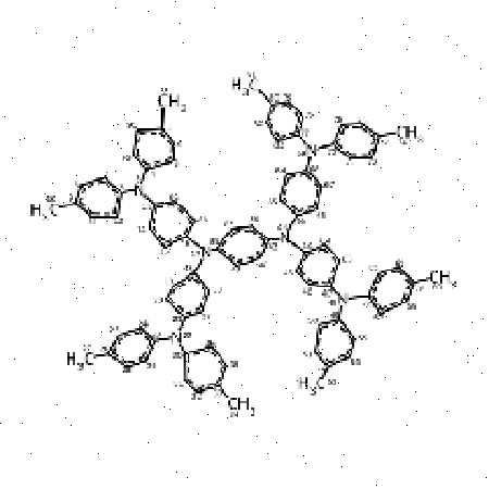 Cc1ccc(N(c2ccc(C)cc2)c2ccc(N(c3ccc(N(c4ccc(C)cc4)c4ccc(C)cc4)cc3)c3ccc(N(c4ccc(N(c5ccc(C)cc5)c5ccc(C)cc5)cc4)c4ccc(N(c5ccc(C)cc5)c5ccc(C)cc5)cc4)cc3)cc2)cc1